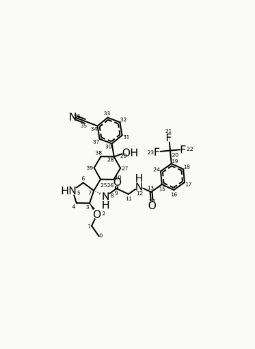 CCO[C@H]1CNC[C@@]1(NC(=O)CNC(=O)c1cccc(C(F)(F)F)c1)C1CCC(O)(c2cccc(C#N)c2)CC1